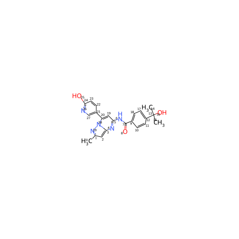 Cc1cc2nc(NC(=O)c3ccc(C(C)(C)O)cc3)cc(-c3ccc(O)nc3)n2n1